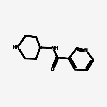 O=C(NN1CCNCC1)c1cccnc1